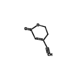 C#CC1=CS(=O)OCC1